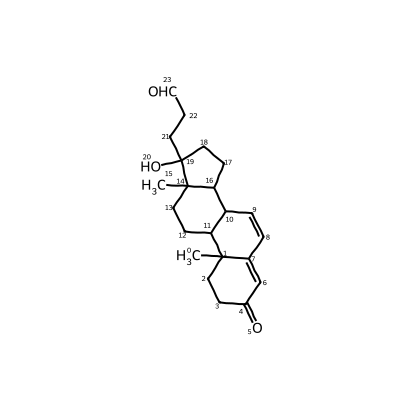 CC12CCC(=O)C=C1C=CC1C2CCC2(C)C1CCC2(O)CCC=O